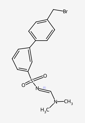 CN(C)/C=N/S(=O)(=O)c1cccc(-c2ccc(CBr)cc2)c1